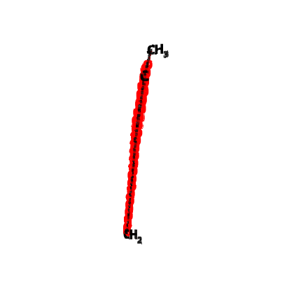 C=COCCOCCOCCOCCOCCOCCOCCOCCOCCOCCOCCOCCOCCOCCOCCOCCOCCOCCOCCOCCOCCOCCOCCOCCOCCOCCOCCOCCOCCOCCOCCOCCOCCOCCOCCOCCOCCOCCOCCOCCOCCOCCOCCCCCCCCCCCC